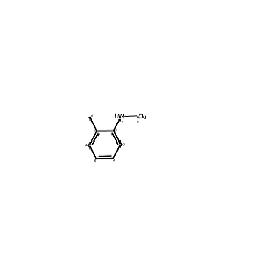 CCC(C)Nc1ccccc1C